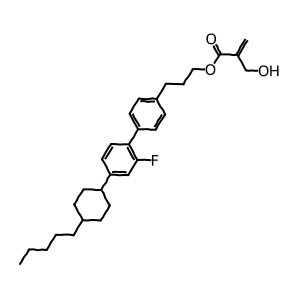 C=C(CO)C(=O)OCCCc1ccc(-c2ccc(C3CCC(CCCCC)CC3)cc2F)cc1